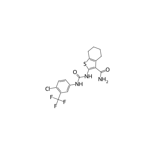 NC(=O)c1c(NC(=O)Nc2ccc(Cl)c(C(F)(F)F)c2)sc2c1CCCC2